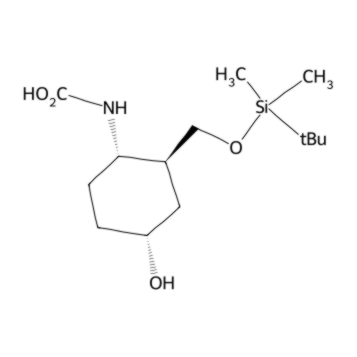 CC(C)(C)[Si](C)(C)OC[C@H]1C[C@H](O)CC[C@@H]1NC(=O)O